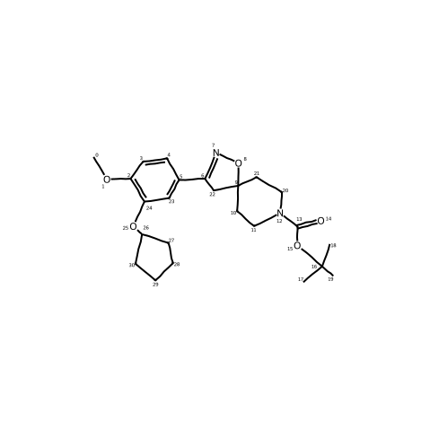 COc1ccc(C2=NOC3(CCN(C(=O)OC(C)(C)C)CC3)C2)cc1OC1CCCC1